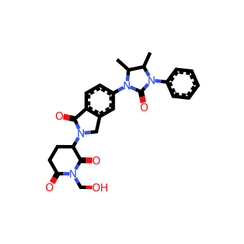 CC1C(C)N(c2ccc3c(c2)CN(C2CCC(=O)N(CO)C2=O)C3=O)C(=O)N1c1ccccc1